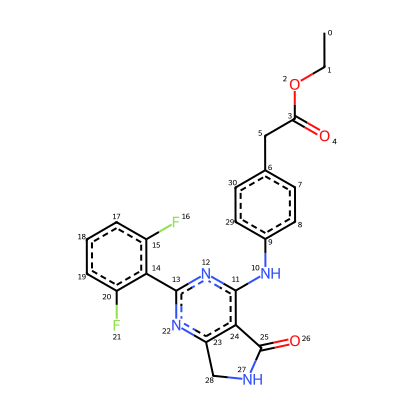 CCOC(=O)Cc1ccc(Nc2nc(-c3c(F)cccc3F)nc3c2C(=O)NC3)cc1